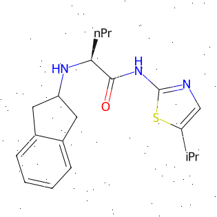 CCC[C@H](NC1Cc2ccccc2C1)C(=O)Nc1ncc(C(C)C)s1